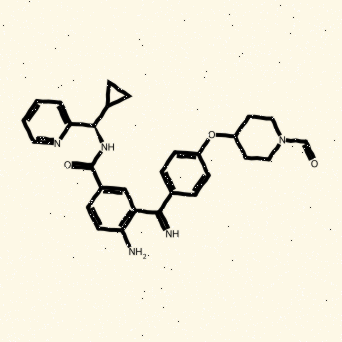 N=C(c1ccc(OC2CCN(C=O)CC2)cc1)c1cc(C(=O)N[C@@H](c2ccccn2)C2CC2)ccc1N